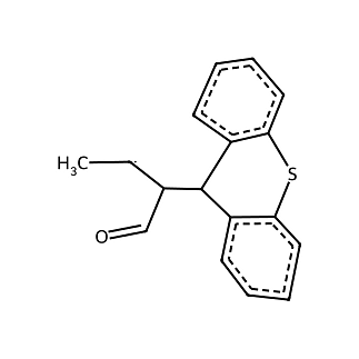 C[CH]C(C=O)C1c2ccccc2Sc2ccccc21